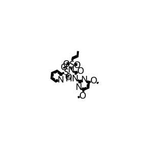 CC=CS(=O)(=O)N(C(=O)Nc1nc(OC)cc(OC)n1)S(=O)(=O)c1ccccn1